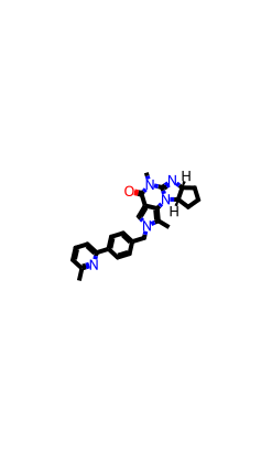 Cc1cccc(-c2ccc(Cn3cc4c(c3C)N3C(=N[C@@H]5CCC[C@@H]53)N(C)C4=O)cc2)n1